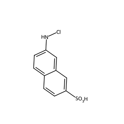 O=S(=O)(O)c1ccc2ccc(NCl)cc2c1